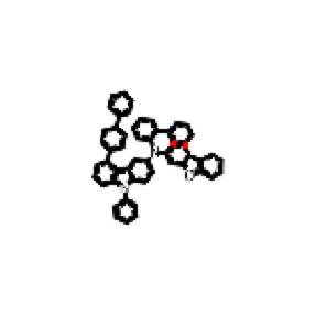 c1ccc(-c2ccc(-c3cccc4c3c3cc(N(c5ccc6c(c5)oc5ccccc56)c5ccccc5-c5ccccc5)ccc3n4-c3ccccc3)cc2)cc1